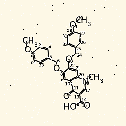 COc1ccc(COc2cc3c(=O)c(C(=O)O)cn(C)c3cc2OCc2ccc(OC)cc2)cc1